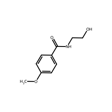 COc1[c]cc(C(=O)NCCO)cc1